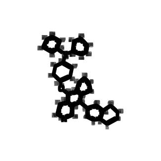 C1=Cc2ccc(-c3c4ccccc4c(OC4=CC=C(N(c5ccccc5)c5ccccc5)CC4)c4ccncc34)cc2CC1